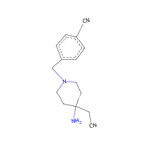 N#CCC1(N)CCN(Cc2ccc(C#N)cc2)CC1